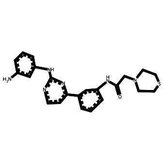 Nc1cccc(Nc2nccc(-c3cccc(NC(=O)CN4CCSCC4)c3)n2)c1